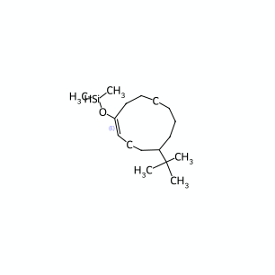 C[SiH](C)O/C1=C/CCC(C(C)(C)C)CCCCCC1